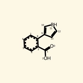 O=C(O)c1ccccc1C1=CBC=C1